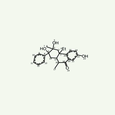 CCC12CC(C)(O)C(O)(c3ccccc3)CC1C(C)C(=O)c1cc(O)ccc12